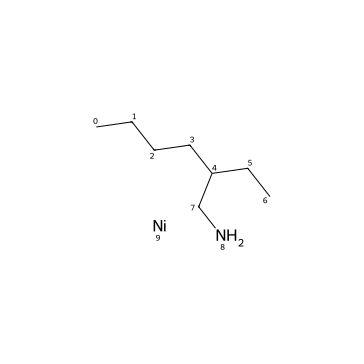 CCCCC(CC)CN.[Ni]